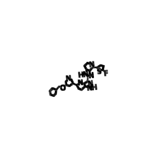 Fc1ccc(-c2nccc3[nH]c(-c4n[nH]c5ccc(-c6cncc(OCc7ccccc7)c6)nc45)nc23)s1